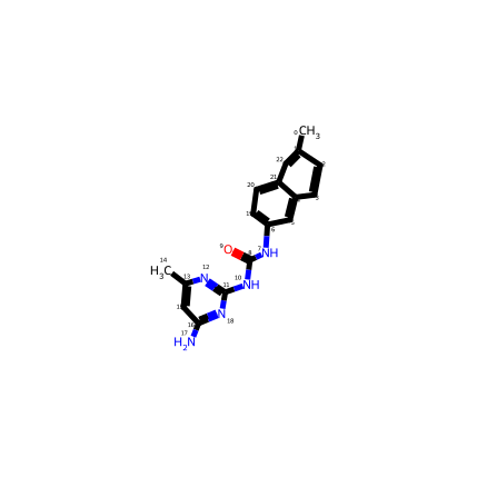 Cc1ccc2cc(NC(=O)Nc3nc(C)cc(N)n3)ccc2c1